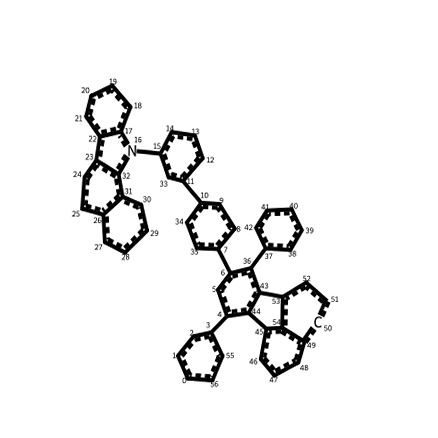 c1ccc(-c2cc(-c3ccc(-c4cccc(-n5c6ccccc6c6ccc7ccccc7c65)c4)cc3)c(-c3ccccc3)c3c2-c2cccc4cccc-3c24)cc1